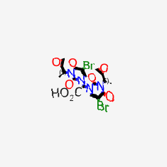 C[C@@H](C1CO1)n1c(=O)c(Br)cn(C(C(=O)O)n2cc(Br)c(=O)n([C@@H](C)C3CO3)c2=O)c1=O